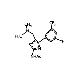 CC(=O)Nc1nc(-c2cc(F)cc(C(F)(F)F)c2)c(CN(C)C)s1